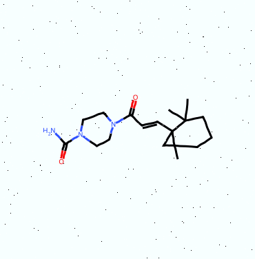 CC1(C)CCCC2(C)CC12C=CC(=O)N1CCN(C(N)=O)CC1